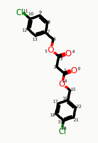 O=C(CC(=O)OCc1ccc(Cl)cc1)OCc1ccc(Cl)cc1